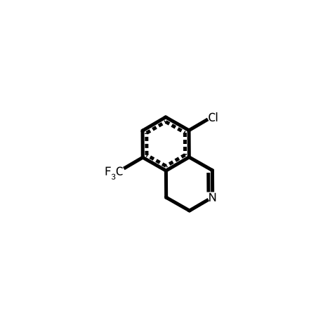 FC(F)(F)c1ccc(Cl)c2c1CCN=C2